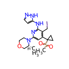 C[C@@H]1COCCN1c1cc(C2(S(C)(=O)=O)CC2)c(CI)c(Nc2ccn[nH]2)n1